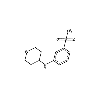 O=S(=O)(c1cccc(NC2CCNCC2)c1)C(F)(F)F